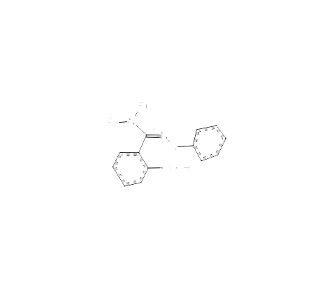 CCN(CC)/C(=N/Sc1ccccc1)c1ccccc1C(=O)O